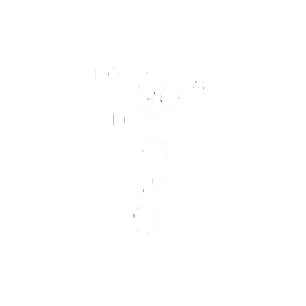 CCc1c(-c2ccc(OCc3ccccc3)cc2)c2cc(C(C)=O)c3ccc(CO)c1n32